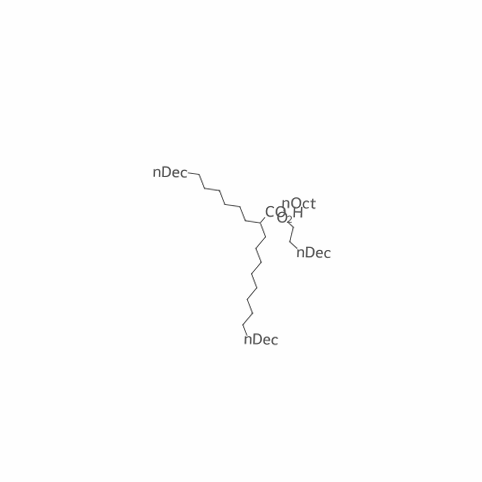 CCCCCCCCCCCCCCCCCCC(CCCCCCCCCCCCCCCC)C(=O)O.CCCCCCCCCCCCOCCCCCCCC